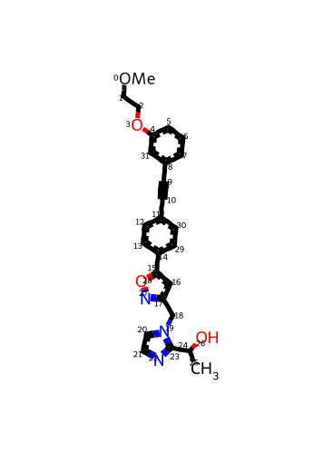 COCCOc1cccc(C#Cc2ccc(-c3cc(Cn4ccnc4C(C)O)no3)cc2)c1